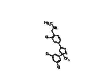 O=C(O)NCc1ccc(C2=CSC(c3cc(Cl)cc(Cl)c3)(C(F)(F)F)C2)cc1Cl